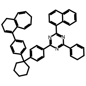 C1=CC2=C(C=CC1)C(c1ccc(C3(c4ccc(-c5nc(C6=CCCC=C6)nc(-c6cccc7ccccc67)n5)cc4)CCCCC3)cc1)=CCC2